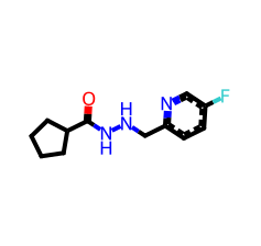 O=C(NNCc1ccc(F)cn1)C1CCCC1